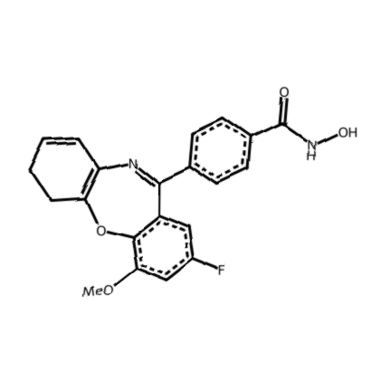 COc1cc(F)cc2c1OC1=C(C=CCC1)N=C2c1ccc(C(=O)NO)cc1